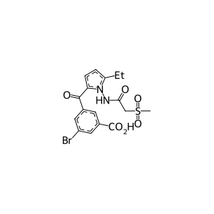 CCc1ccc(C(=O)c2cc(Br)cc(C(=O)O)c2)n1NC(=O)CS(C)(=O)=O